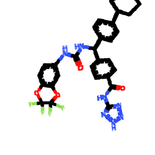 O=C(Nc1ccc2c(c1)OC(F)(F)C(F)(F)O2)NC(c1ccc(C(=O)Nc2nn[nH]n2)cc1)c1ccc(C2CCCCC2)cc1